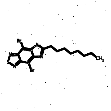 CCCCCCCCc1nc2c(Br)c3nsnc3c(Br)c2s1